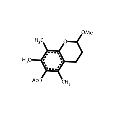 COC1CCc2c(C)c(OC(C)=O)c(C)c(C)c2O1